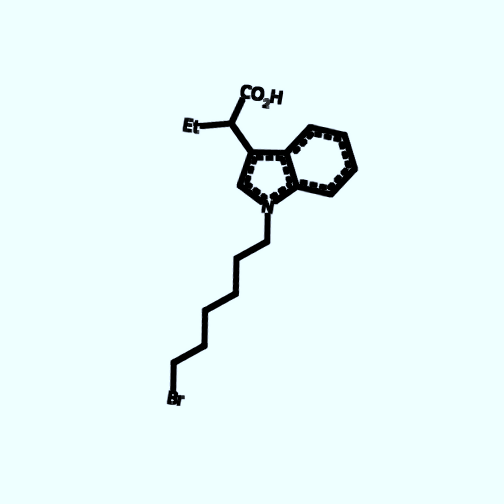 CCC(C(=O)O)c1cn(CCCCCCBr)c2ccccc12